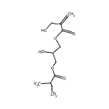 C=C(CO)C(=O)OCC(O)COC(=O)C(C)C